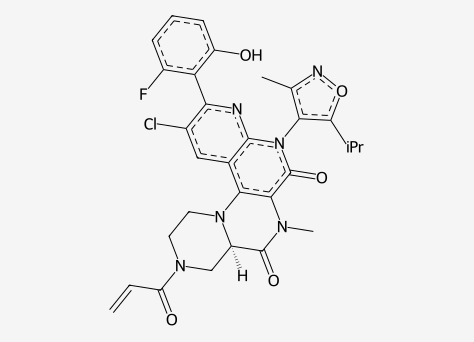 C=CC(=O)N1CCN2c3c(c(=O)n(-c4c(C)noc4C(C)C)c4nc(-c5c(O)cccc5F)c(Cl)cc34)N(C)C(=O)[C@H]2C1